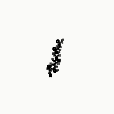 C=CC(=O)N1CC(C)(C(=O)N2CCC(n3ncc(-c4cc(OC)c5c(C#N)cnn5c4)c3C)CC2)C1